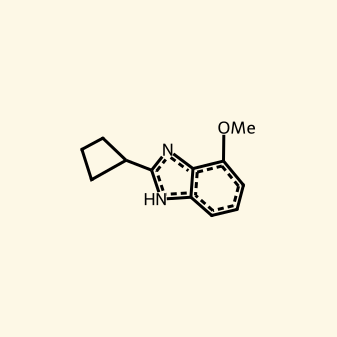 [CH2]Oc1cccc2[nH]c(C3CCC3)nc12